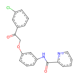 O=C(COc1cccc(NC(=O)c2ccccn2)c1)c1cccc(Cl)c1